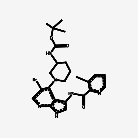 Cc1cccnc1C(=O)Nc1c[nH]c2ncc(Br)c(N3CCCC(NC(=O)OC(C)(C)C)C3)c12